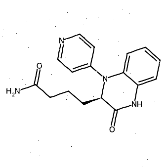 NC(=O)CCC[C@@H]1C(=O)Nc2ccccc2N1c1ccncc1